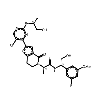 COc1cc(F)cc([C@@H](CO)NC(=O)[C@@H](C)N2CCc3sc(-c4nc(N[C@@H](C)CO)ncc4Cl)cc3C2=O)c1